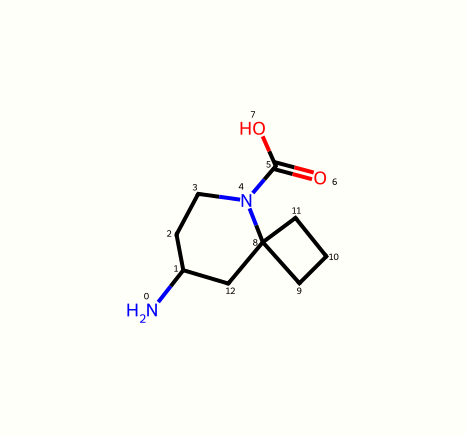 NC1CCN(C(=O)O)C2(CCC2)C1